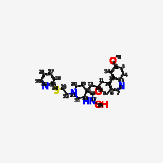 COc1ccc2ncc(C)c(CCCC3(C(=O)NO)CCN(CCSc4ccccn4)CC3)c2c1